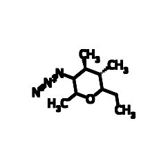 CCC1OC(C)C(N=[N+]=[N-])[C@@H](C)[C@@H]1C